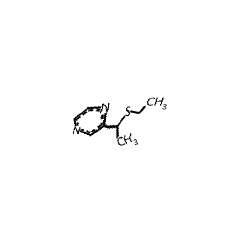 CCSC(C)c1cnccn1